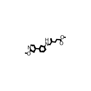 C=C(CCC(=O)OC)CNc1cccc(-c2ccnc(OC)c2)c1